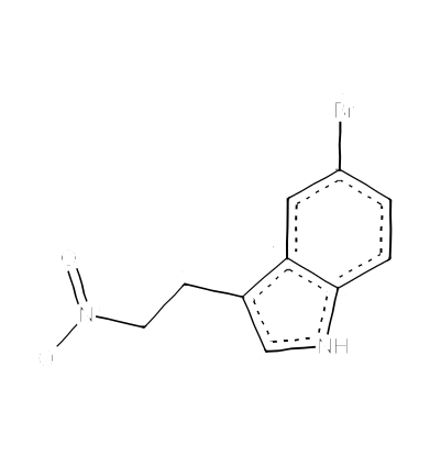 O=[N+]([O-])CCc1c[nH]c2ccc(Br)cc12